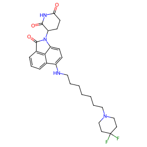 O=C1CCC(N2C(=O)c3cccc4c(NCCCCCCCN5CCC(F)(F)CC5)ccc2c34)C(=O)N1